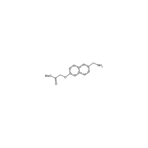 COC(=O)COc1ccc2cc(CN)ccc2c1